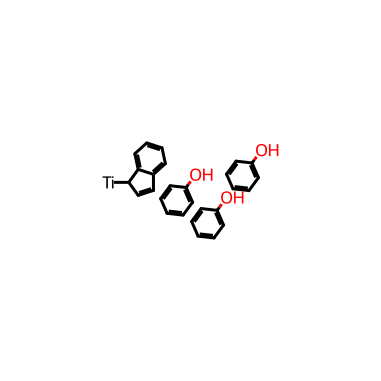 Oc1ccccc1.Oc1ccccc1.Oc1ccccc1.[Ti][CH]1C=Cc2ccccc21